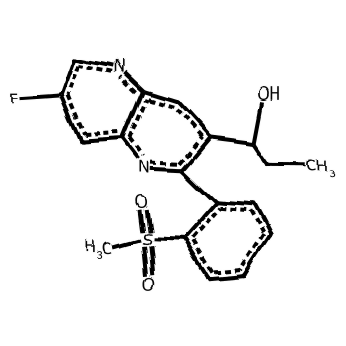 CCC(O)c1cc2ncc(F)cc2nc1-c1ccccc1S(C)(=O)=O